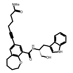 CNC(=O)CCCC#Cc1cc2c(c(C(=O)N[C@@H](CO)Cc3c[nH]c4ccccc34)c1)OCCCC2